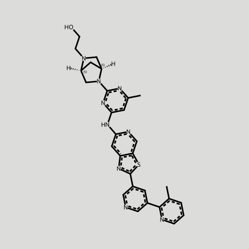 Cc1cc(Nc2cc3nc(-c4cncc(-c5ncccc5C)c4)sc3cn2)nc(N2C[C@@H]3C[C@H]2CN3CCO)n1